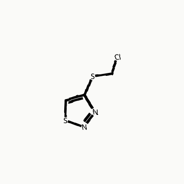 ClCSc1csnn1